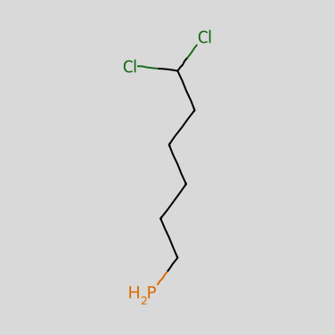 PCCCCCC(Cl)Cl